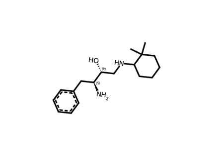 CC1(C)CCCCC1NC[C@@H](O)[C@@H](N)Cc1ccccc1